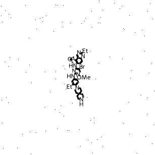 CCc1ncc2c(P(C)(C)=O)c(Nc3nc(Nc4cc(CC)c(N5CCC6(CCNCC6)CC5)cc4OC)ncc3Br)ccc2n1